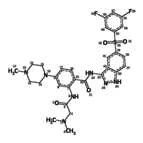 CN(C)CC(=O)Nc1cc(N2CCN(C)CC2)ccc1C(=O)Nc1n[nH]c2ccc(S(=O)(=O)c3cc(F)cc(F)c3)cc12